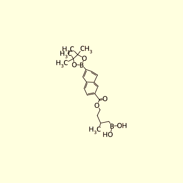 CC(CCOC(=O)c1ccc2cc(B3OC(C)(C)C(C)(C)O3)ccc2c1)CB(O)O